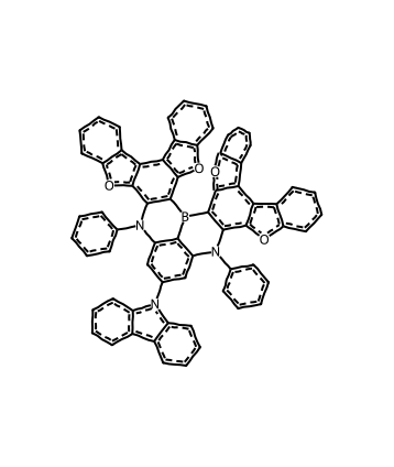 c1ccc(N2c3cc(-n4c5ccccc5c5ccccc54)cc4c3B(c3c2c2oc5ccccc5c2c2c3oc3ccccc32)c2c(c3oc5ccccc5c3c3c2oc2ccccc23)N4c2ccccc2)cc1